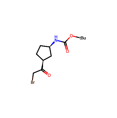 CC(C)(C)OC(=O)N[C@@H]1CC[C@H](C(=O)CBr)C1